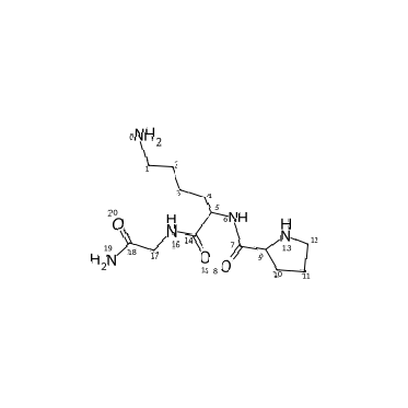 NCCCCC(NC(=O)C1CCCN1)C(=O)NCC(N)=O